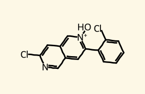 O[n+]1cc2cc(Cl)ncc2cc1-c1ccccc1Cl